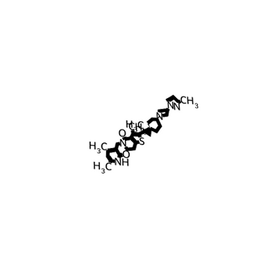 Cc1ccn(C2CN([C@H]3CC[C@]4(CC3)C[C@]4(C)c3sc4c(c3C)C(=O)N(Cc3c(C)cc(C)[nH]c3=O)CC4)C2)n1